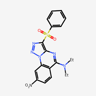 CCN(CC)c1nc2c(S(=O)(=O)c3ccccc3)nnn2c2cc([N+](=O)[O-])ccc12